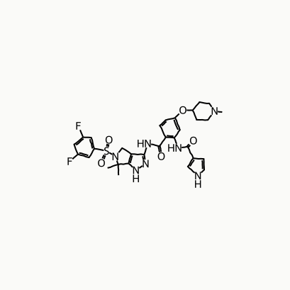 CN1CCC(Oc2ccc(C(=O)Nc3n[nH]c4c3CN(S(=O)(=O)c3cc(F)cc(F)c3)C4(C)C)c(NC(=O)c3cc[nH]c3)c2)CC1